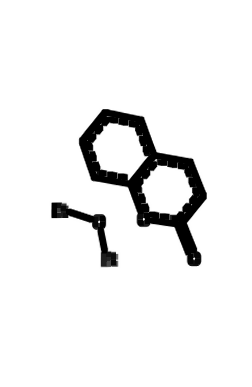 CCOCC.O=c1ccc2ccccc2o1